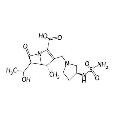 C[C@@H](O)C1C(=O)N2C(C(=O)O)=C(CN3CC[C@H](NS(N)(=O)=O)C3)[C@H](C)C12